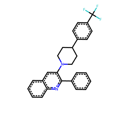 FC(F)(F)c1ccc(C2CCN(c3cc4ccccc4nc3-c3ccccc3)CC2)cc1